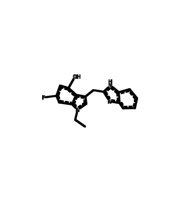 CCn1cc(Cc2nc3ccccc3[nH]2)c2c(O)cc(F)cc21